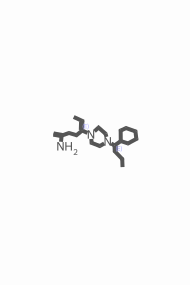 C=C(N)CC/C(=C\C)N1CCN(/C(=C/CC)C2CCCCC2)CC1